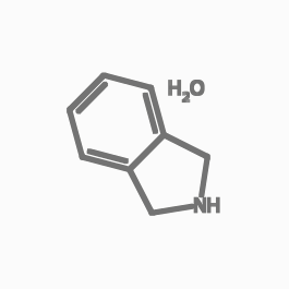 O.c1ccc2c(c1)CNC2